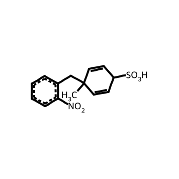 CC1(Cc2ccccc2[N+](=O)[O-])C=CC(S(=O)(=O)O)C=C1